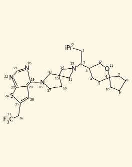 CC(C)CC(C1CCC2(CCCC2)OC1)N1CC2(CCN(c3ncnc4sc(CC(F)(F)F)cc34)C2)C1